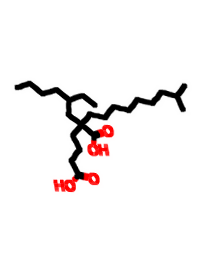 CCCCC(CC)CC(CCCCCCCC(C)C)(CCCC(=O)O)C(=O)O